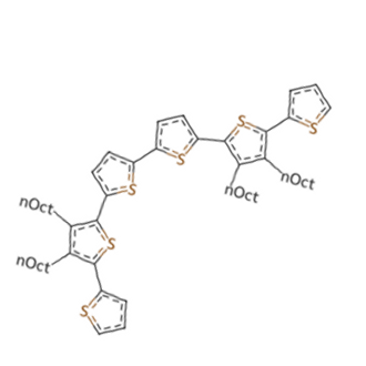 CCCCCCCCc1c(-c2cccs2)sc(-c2ccc(-c3ccc(-c4sc(-c5cccs5)c(CCCCCCCC)c4CCCCCCCC)s3)s2)c1CCCCCCCC